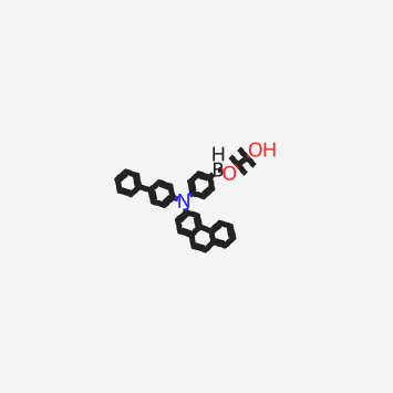 CC(C)(O)C(C)(C)OBc1ccc(N(c2ccc(-c3ccccc3)cc2)c2ccc3ccc4ccccc4c3c2)cc1